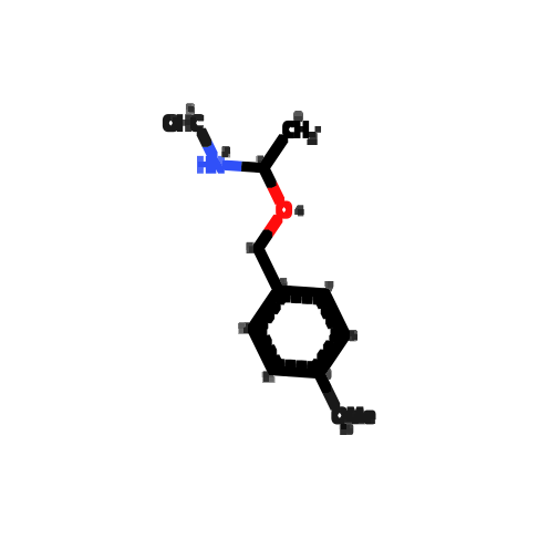 [CH2]C(NC=O)OCc1ccc(OC)cc1